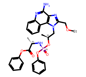 CCOCc1nc2c(N)nc3ccccc3c2n1C[C@H](C)O[P@@](=O)(N[C@@H](C)C(=O)Oc1ccccc1)Oc1ccccc1